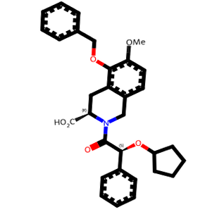 COc1ccc2c(c1OCc1ccccc1)C[C@H](C(=O)O)N(C(=O)[C@@H](OC1CCCC1)c1ccccc1)C2